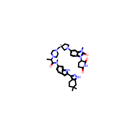 CC(C(=O)N(C)c1ccc2cc(-c3n[nH]c4c3CCC(C)(C)C4)[nH]c2c1)N1CCN(C[C@H]2CCN(c3ccc4c(c3)n(C)c(=O)n4C3CCC(=O)NC3=O)C2)CC1